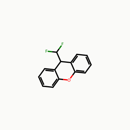 FC(F)C1c2ccccc2Oc2ccccc21